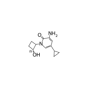 Nc1cc(C2CC2)cn(C2CC[C@@H]2O)c1=O